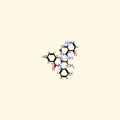 CC(Nc1ncnc2[nH]ccc(=O)c12)c1nc2ccc(F)cc2c(=O)n1-c1cccc(F)c1